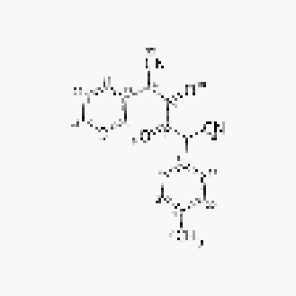 Cc1ccc(C(C#N)C(=O)C(=O)C(C#N)c2ccccc2)cc1